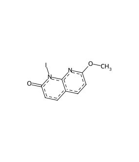 COc1ccc2ccc(=O)n(I)c2n1